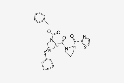 O=C(c1nccs1)[C@@H]1CCCN1C(=O)[C@@H]1C[C@@H](Sc2ccccc2)CN1C(=O)OCc1ccccc1